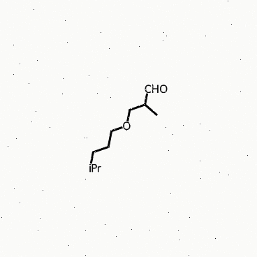 CC(C)CCCOCC(C)C=O